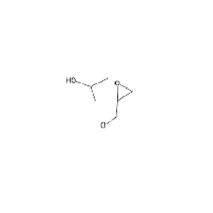 CC(C)O.ClCC1CO1